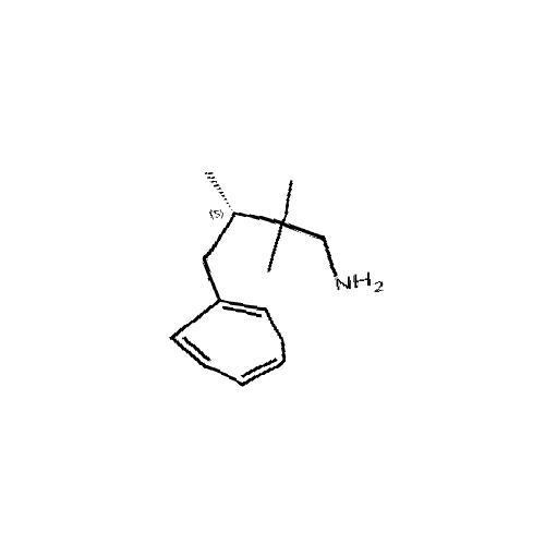 C[C@@H](Cc1ccccc1)C(C)(C)CN